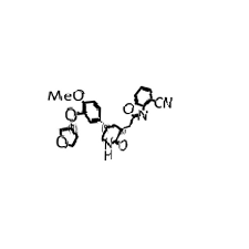 COc1ccc([C@H]2CNC(=O)[C@H](Cc3nc4c(C#N)cccc4o3)C2)cc1O[C@@H]1CCOC1